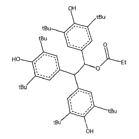 CCC(=O)OC([C](c1cc(C(C)(C)C)c(O)c(C(C)(C)C)c1)c1cc(C(C)(C)C)c(O)c(C(C)(C)C)c1)c1cc(C(C)(C)C)c(O)c(C(C)(C)C)c1